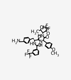 COc1ccc([C@H](NC(=O)[C@H](Cc2ccc(CN)cc2)NC(=O)c2cccc(C(F)(F)F)c2)C(=O)N[C@H](C(=O)C(F)(F)F)C(C)C)cc1